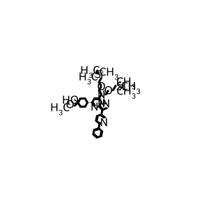 COC[C@]1(O)CC[C@H](c2cc(N(COCC[Si](C)(C)C)COCC[Si](C)(C)C)n3ncc(-c4ccc(-c5ccccc5)nc4)c3n2)CC1